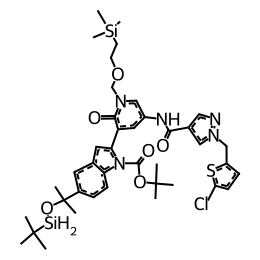 CC(C)(C)OC(=O)n1c(-c2cc(NC(=O)c3cnn(Cc4ccc(Cl)s4)c3)cn(COCC[Si](C)(C)C)c2=O)cc2cc(C(C)(C)O[SiH2]C(C)(C)C)ccc21